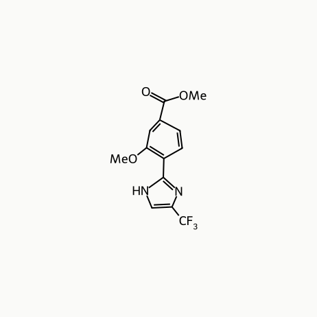 COC(=O)c1ccc(-c2nc(C(F)(F)F)c[nH]2)c(OC)c1